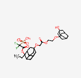 CCC1(OC(=O)C(F)(F)S(=O)(=O)O)C2CC3CC1CC(OCC(=O)OCCOC14CC5CC(CC(O)(C5)C1)C4)(C3)C2